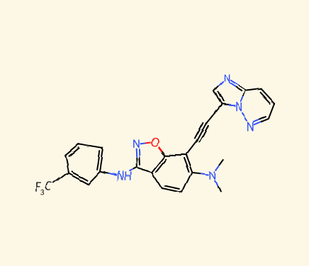 CN(C)c1ccc2c(Nc3cccc(C(F)(F)F)c3)noc2c1C#Cc1cnc2cccnn12